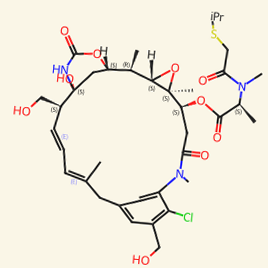 C/C1=C\C=C\[C@@H](CO)[C@@]2(O)C[C@H](OC(=O)N2)[C@@H](C)[C@@H]2O[C@@]2(C)[C@@H](OC(=O)[C@H](C)N(C)C(=O)CSC(C)C)CC(=O)N(C)c2cc(cc(CO)c2Cl)C1